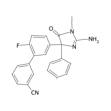 CN1C(=O)C(c2cc[c]cc2)(c2ccc(F)c(-c3cccc(C#N)c3)c2)N=C1N